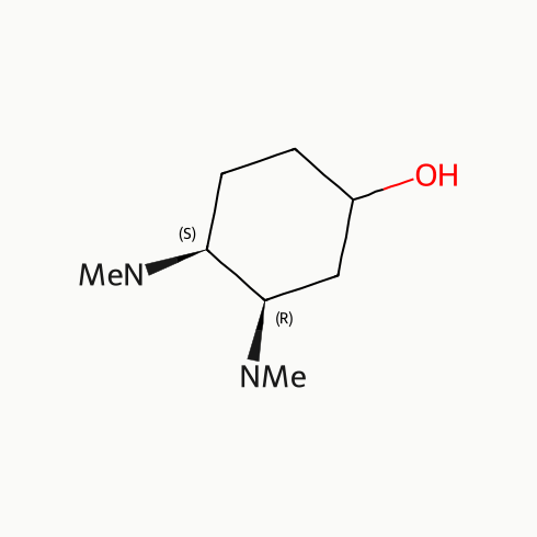 CN[C@H]1CCC(O)C[C@H]1NC